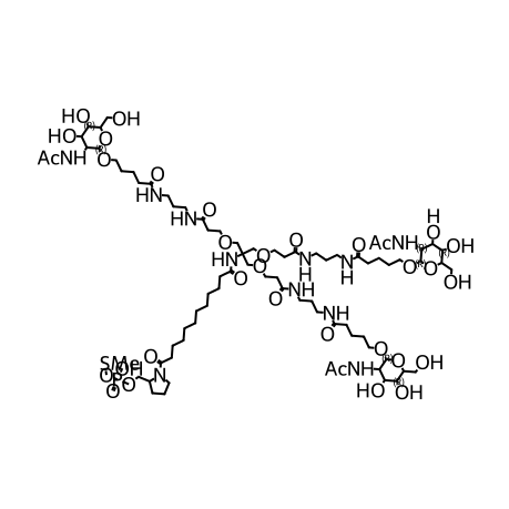 CSOP(=O)(O)OCC1CCCN1C(=O)CCCCCCCCCCC(=O)NC(COCCC(=O)NCCCNC(=O)CCCCO[C@@H]1OC(CO)[C@H](O)C(O)C1NC(C)=O)(COCCC(=O)NCCCNC(=O)CCCCO[C@@H]1OC(CO)[C@H](O)C(O)C1NC(C)=O)COCCC(=O)NCCCNC(=O)CCCCO[C@@H]1OC(CO)[C@H](O)C(O)[C@H]1NC(C)=O